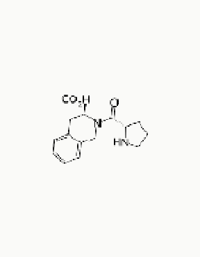 O=C(O)[C@@H]1Cc2ccccc2CN1C(=O)[C@@H]1CCCN1